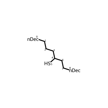 CCCCCCCCCCCCCC(S)CCCCCCCCCCCC